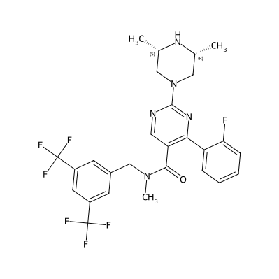 C[C@@H]1CN(c2ncc(C(=O)N(C)Cc3cc(C(F)(F)F)cc(C(F)(F)F)c3)c(-c3ccccc3F)n2)C[C@H](C)N1